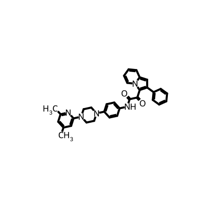 Cc1cc(C)nc(N2CCN(c3ccc(NC(=O)C(=O)c4c(-c5ccccc5)cc5ccccn45)cc3)CC2)c1